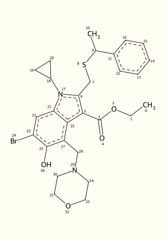 CCOC(=O)c1c(CSC(C)c2ccccc2)n(C2CC2)c2cc(Br)c(O)c(CN3CCOCC3)c12